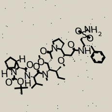 CC[C@H](C)[C@@H]([C@@H](CC(=O)N1CCC[C@H]1[C@H](OC)[C@@H](C)C(=O)N[C@@H](Cc1ccccc1)CS(N)(=O)=O)OC)N(C)C(=O)[C@@H](NC(=O)[C@@H]1[C@H]2CC[C@H](C2)N1C(=O)OC(C)(C)C)C(C)C